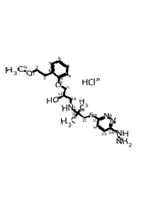 COCCc1ccccc1OCC(O)CNC(C)(C)CSc1ccc(NN)nn1.Cl